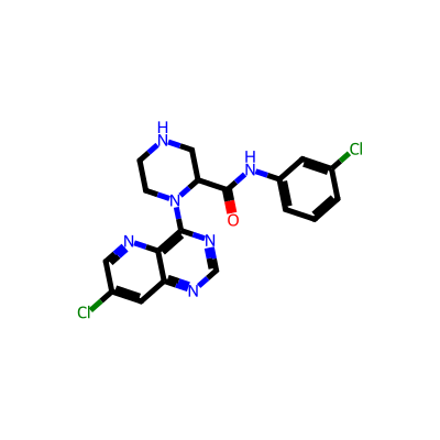 O=C(Nc1cccc(Cl)c1)C1CNCCN1c1ncnc2cc(Cl)cnc12